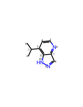 CC(C)c1ccnc2cn[nH]c12